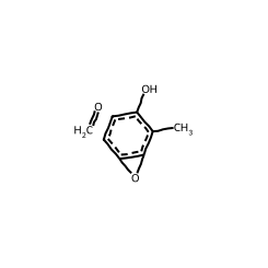 C=O.Cc1c(O)ccc2c1O2